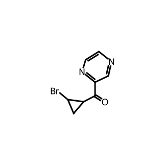 O=C(c1cnccn1)C1CC1Br